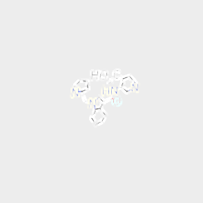 O=C(O)c1ccncc1NC(=O)c1cn(Cc2ccccn2)c2ccccc12